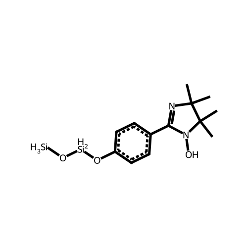 CC1(C)N=C(c2ccc(O[SiH2]O[SiH3])cc2)N(O)C1(C)C